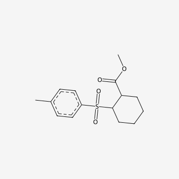 COC(=O)C1CCCCC1S(=O)(=O)c1ccc(C)cc1